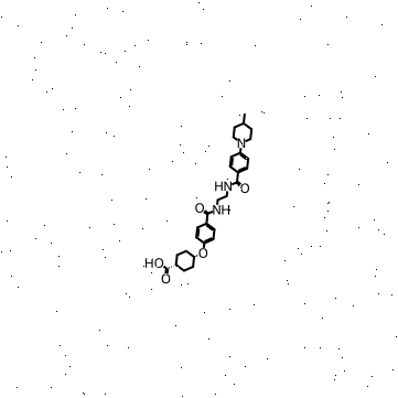 CC1CCN(c2ccc(C(=O)NCCNC(=O)c3ccc(O[C@H]4CC[C@@H](C(=O)O)CC4)cc3)cc2)CC1